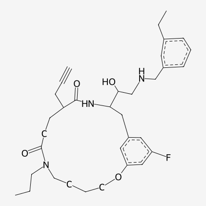 C#CCC1CCC(=O)N(CCC)CCCCOc2cc(F)cc(c2)CC(C(O)CNCc2cccc(CC)c2)NC1=O